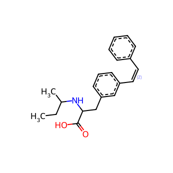 CCC(C)NC(Cc1cccc(/C=C\c2ccccc2)c1)C(=O)O